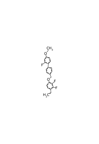 C=Cc1ccc(OCc2ccc(-c3ccc(OCC)cc3F)cc2)c(F)c1F